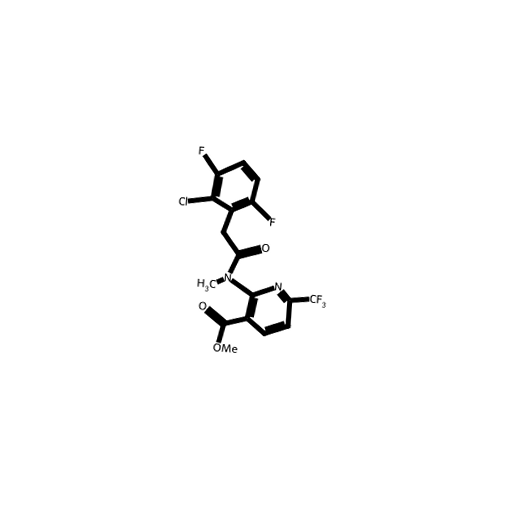 COC(=O)c1ccc(C(F)(F)F)nc1N(C)C(=O)Cc1c(F)ccc(F)c1Cl